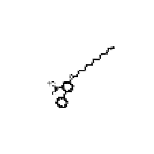 C=CCCCCCCCCCOc1ccc(-c2ccccc2)c(C(=O)O)c1